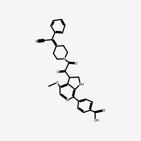 COc1cnc(-c2ccc(C(=O)O)cc2)c2c1C(C(=O)C(=O)N1CCC(=C(C#N)c3ccccc3)CC1)CN2